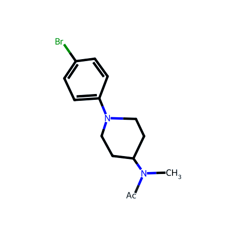 CC(=O)N(C)C1CCN(c2ccc(Br)cc2)CC1